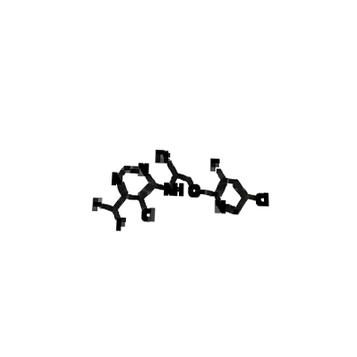 CCC(COc1ncc(Cl)cc1F)Nc1ncnc(C(F)F)c1Cl